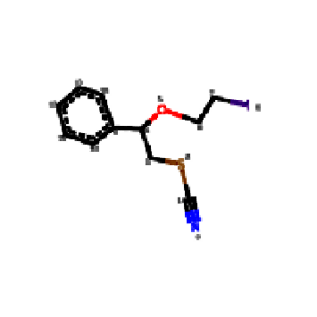 N#CSCC(OCCI)c1ccccc1